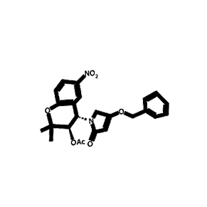 CC(=O)O[C@@H]1[C@@H](N2CC(OCc3ccccc3)=CC2=O)c2cc([N+](=O)[O-])ccc2OC1(C)C